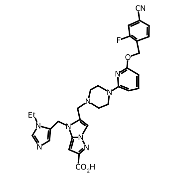 CCn1cncc1Cn1c(CN2CCN(c3cccc(OCc4ccc(C#N)cc4F)n3)CC2)cn2nc(C(=O)O)cc12